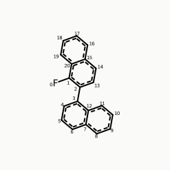 Fc1c(-c2cccc3ccccc23)ccc2ccccc12